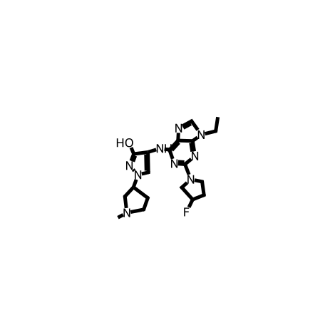 CCn1cnc2c(Nc3cn(C4CCN(C)C4)nc3O)nc(N3CCC(F)C3)nc21